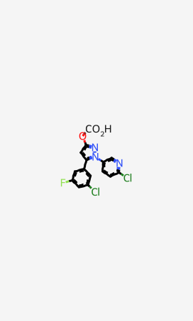 O=C(O)Oc1cc(-c2cc(F)cc(Cl)c2)n(-c2ccc(Cl)nc2)n1